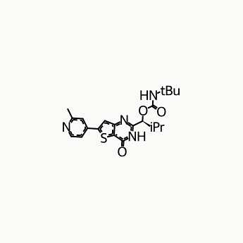 Cc1cc(-c2cc3nc([C@@H](OC(=O)NC(C)(C)C)C(C)C)[nH]c(=O)c3s2)ccn1